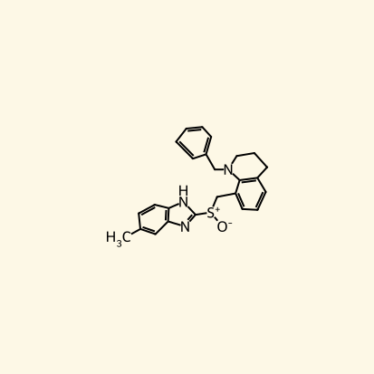 Cc1ccc2[nH]c([S+]([O-])Cc3cccc4c3N(Cc3ccccc3)CCC4)nc2c1